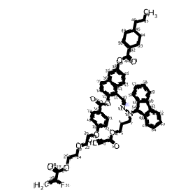 C#CC(=O)OCCCN(/N=C/c1c(OC(=O)c2ccc(OCCOCCOC(=O)C(=C)F)cc2)ccc2cc(OC(=O)C3CCC(CCC)CC3)ccc12)C1c2ccccc2-c2ccccc21